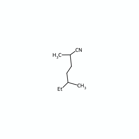 CCC(C)CCC(C)C#N